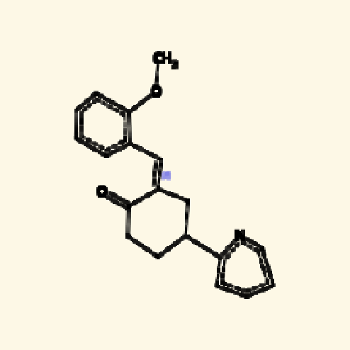 COc1ccccc1/C=C1/CC(c2ccccn2)CCC1=O